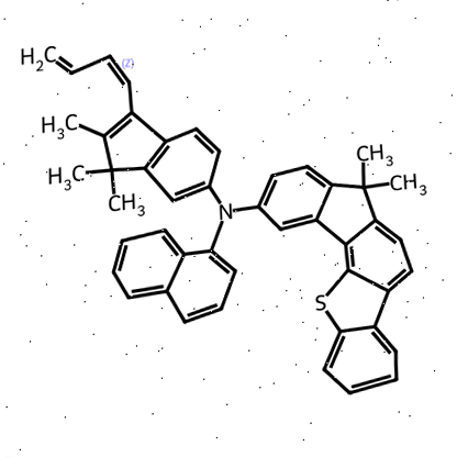 C=C/C=C\C1=C(C)C(C)(C)c2cc(N(c3ccc4c(c3)-c3c(ccc5c3sc3ccccc35)C4(C)C)c3cccc4ccccc34)ccc21